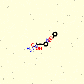 CC(C#CC1=CC(=NOOCc2ccccc2)CC=C1)N(O)C(N)=O